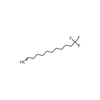 [CH]=CCCCCCCCCCC(F)(F)F